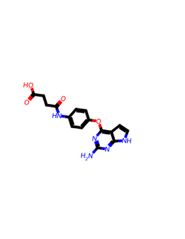 Nc1nc(Oc2ccc(NC(=O)CCC(=O)O)cc2)c2cc[nH]c2n1